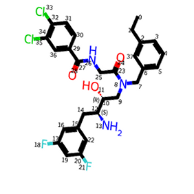 CCc1cccc(CN(C[C@@H](O)[C@@H](N)Cc2cc(F)cc(F)c2)C(=O)CNC(=O)c2ccc(Cl)c(Cl)c2)c1